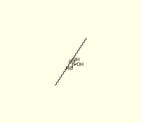 CCCCCCCCCCCCCCCCCCOCCCCCCCCCCCCCCCCCC.OCCN(CCO)CCO